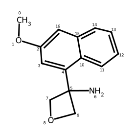 COc1cc(C2(N)COC2)c2ccccc2c1